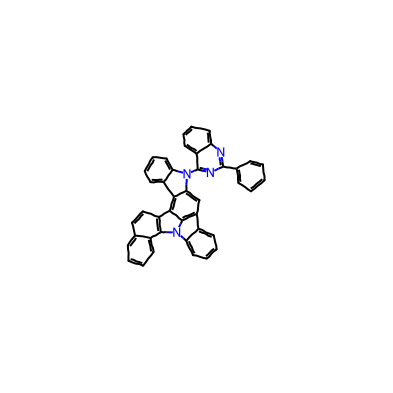 c1ccc(-c2nc(-n3c4ccccc4c4c5c6ccc7ccccc7c6n6c7ccccc7c(cc43)c56)c3ccccc3n2)cc1